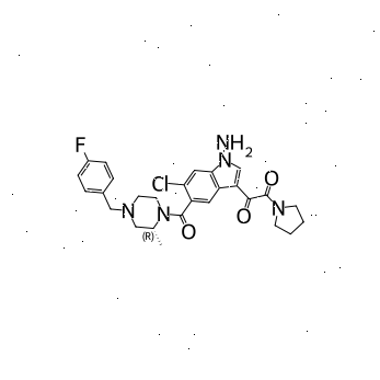 C[C@@H]1CN(Cc2ccc(F)cc2)CCN1C(=O)c1cc2c(C(=O)C(=O)N3CCCC3)cn(N)c2cc1Cl